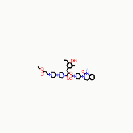 C=Cc1cc(C[C@@H](OC(=O)N2CCC(N3CCc4ccccc4NC3=O)CC2)C(=O)N2CCN(C3CCN(CCC(=O)OCC)CC3)CC2)cc(C)c1O